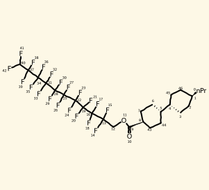 CCC[C@H]1CC[C@H]([C@H]2CC[C@H](C(=O)OCC(F)(F)C(F)(F)C(F)(F)C(F)(F)C(F)(F)C(F)(F)C(F)(F)C(F)(F)C(F)(F)C(F)F)CC2)CC1